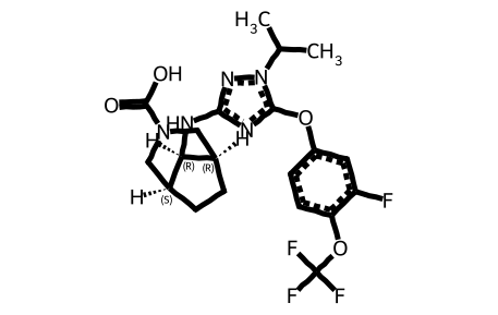 CC(C)n1nc(N[C@H]2[C@@H]3CC[C@H]2CN(C(=O)O)C3)nc1Oc1ccc(OC(F)(F)F)c(F)c1